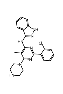 Cc1c(Nc2n[nH]c3ccccc23)nc(-c2ccccc2Cl)nc1N1CCNCC1